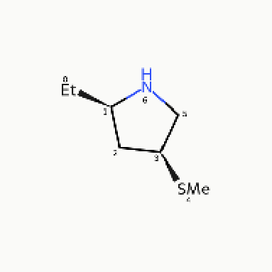 CC[C@@H]1C[C@H](SC)CN1